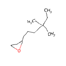 CCC(C)(C)CCC1CO1